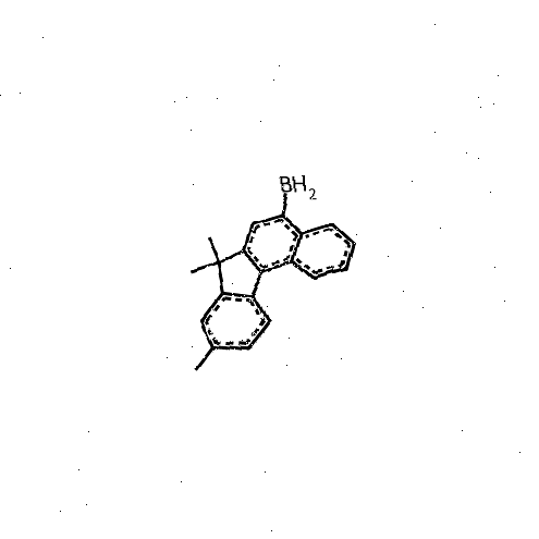 Bc1cc2c(c3ccccc13)-c1ccc(C)cc1C2(C)C